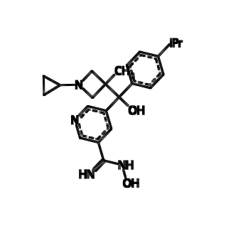 CC(C)c1ccc(C(O)(c2cncc(C(=N)NO)c2)C2(C)CN(C3CC3)C2)cc1